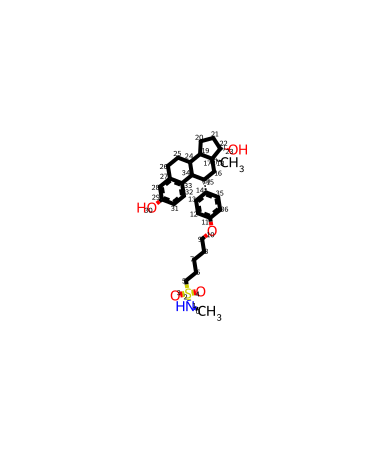 CNS(=O)(=O)CCCCCOc1ccc([C@H]2C[C@@]3(C)C(CC[C@@H]3O)C3CCc4cc(O)ccc4C32)cc1